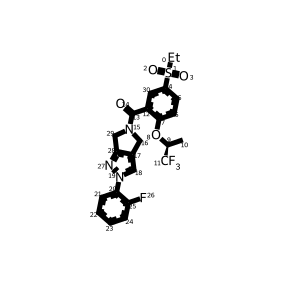 CCS(=O)(=O)c1ccc(O[C@@H](C)C(F)(F)F)c(C(=O)N2Cc3cn(-c4ccccc4F)nc3C2)c1